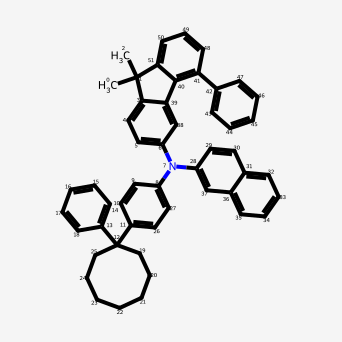 CC1(C)c2ccc(N(c3ccc(C4(c5ccccc5)CCCCCCC4)cc3)c3ccc4ccccc4c3)cc2-c2c(-c3ccccc3)cccc21